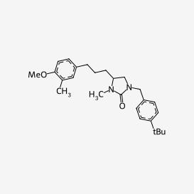 COc1ccc(CCCC2CN(Cc3ccc(C(C)(C)C)cc3)C(=O)N2C)cc1C